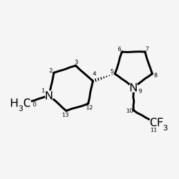 CN1CCC([C@@H]2CCCN2CC(F)(F)F)CC1